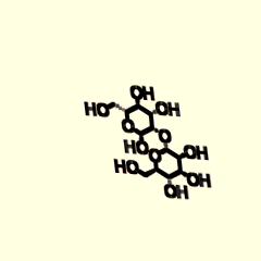 OC[C@H]1O[C@H](O[C@H]2[C@@H](O)[C@H](O)[C@@H](CO)O[C@@H]2O)[C@@H](O)[C@@H](O)[C@@H]1O